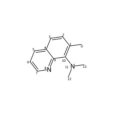 Cc1ccc2cccnc2c1N(C)C